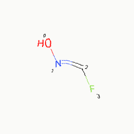 ON=CF